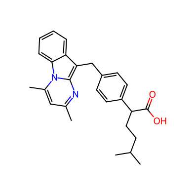 Cc1cc(C)n2c(n1)c(Cc1ccc(C(CCC(C)C)C(=O)O)cc1)c1ccccc12